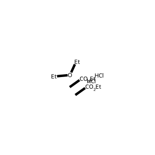 CCOC(C)=O.CCOC(C)=O.CCOCC.Cl.Cl